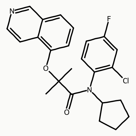 CC(C)(Oc1cccc2cnccc12)C(=O)N(c1ccc(F)cc1Cl)C1CCCC1